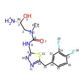 CCN(C[C@H](N)O)C(=O)Nc1nnc(Cc2ccc(F)c(F)c2)s1